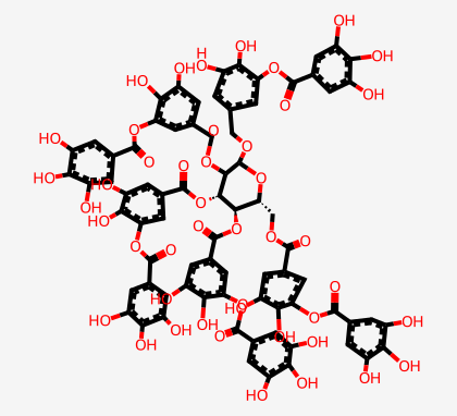 O=C(OC[C@H]1OC(OCc2cc(O)c(O)c(OC(=O)c3cc(O)c(O)c(O)c3)c2)C(OC(=O)c2cc(O)c(O)c(OC(=O)c3cc(O)c(O)c(O)c3)c2)[C@@H](OC(=O)c2cc(O)c(O)c(OC(=O)c3cc(O)c(O)c(O)c3)c2)[C@@H]1OC(=O)c1cc(O)c(O)c(OC(=O)c2cc(O)c(O)c(O)c2)c1)c1cc(O)c(O)c(OC(=O)c2cc(O)c(O)c(O)c2)c1